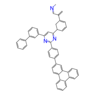 C=C(/C=N\C)C1=CC=CC(c2cc(-c3cccc(-c4ccccc4)c3)nc(-c3ccc(-c4ccc5c6ccccc6c6ccccc6c5c4)cc3)n2)C1